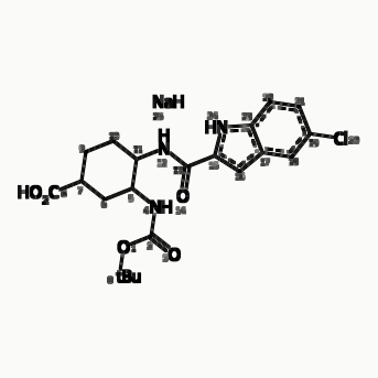 CC(C)(C)OC(=O)NC1CC(C(=O)O)CCC1NC(=O)c1cc2cc(Cl)ccc2[nH]1.[NaH]